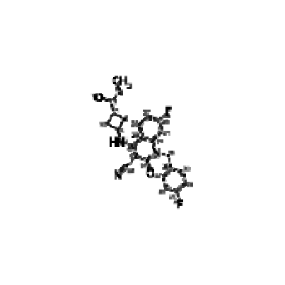 C=CC(=O)C1CC(Nc2c(C#N)c(=O)n(Cc3ccc(F)cc3)c3cc(F)ccc23)C1